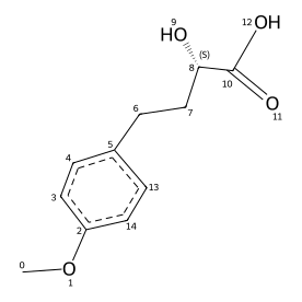 COc1ccc(CC[C@H](O)C(=O)O)cc1